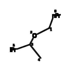 CCC[CH]OC(C)C(C)C